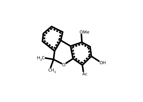 COc1cc(O)c(C(C)=O)c2c1-c1ccccc1C(C)(C)O2